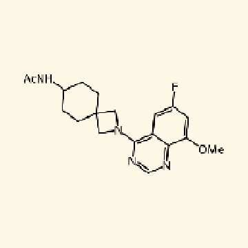 COc1cc(F)cc2c(N3CC4(CCC(NC(C)=O)CC4)C3)ncnc12